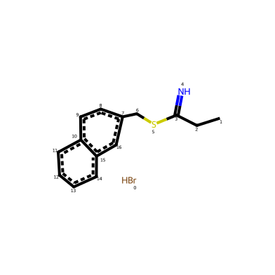 Br.CCC(=N)SCc1ccc2ccccc2c1